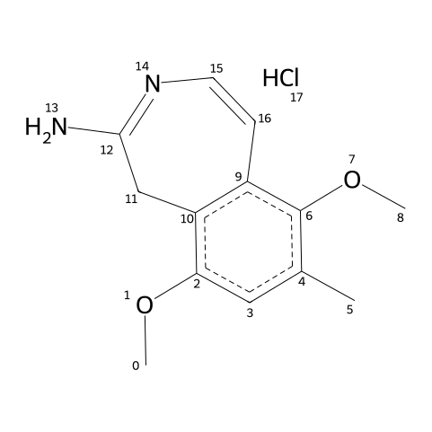 COc1cc(C)c(OC)c2c1CC(N)=NC=C2.Cl